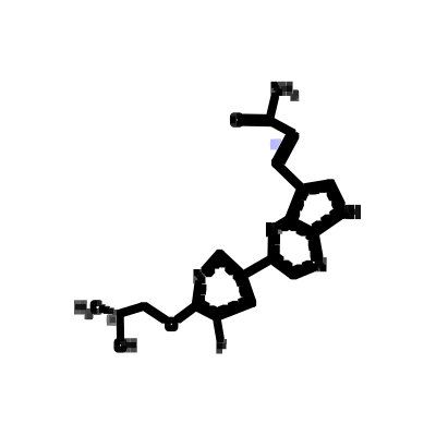 C[C@@H](O)COc1ncc(-c2cnc3[nH]cc(/C=C/C(N)=O)c3n2)cc1F